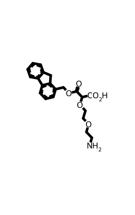 NCCOCCOC(C(=O)O)C(=O)OCc1cccc2c1Cc1ccccc1-2